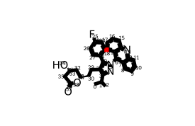 CC(C)c1nn(-c2c3ccccc3nc3ccccc23)c(-c2ccc(F)cc2)c1CC[C@@H]1C[C@@H](O)CC(=O)O1